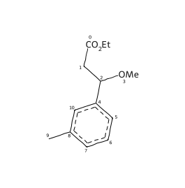 CCOC(=O)CC(OC)c1cccc(C)c1